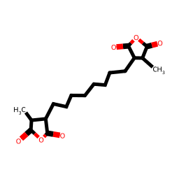 CC1C(=O)OC(=O)C1CCCCCCCCC1C(=O)OC(=O)C1C